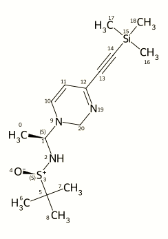 C[C@H](N[S@+]([O-])C(C)(C)C)N1C=CC(C#C[Si](C)(C)C)=NC1